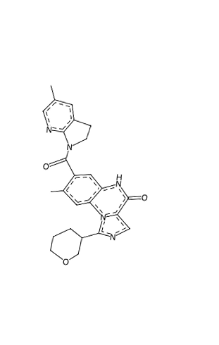 Cc1cnc2c(c1)CCN2C(=O)c1cc2[nH]c(=O)c3cnc(C4CCCOC4)n3c2cc1C